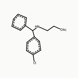 CC(=O)OCCNC(c1ccccc1)c1ccc(Cl)cc1